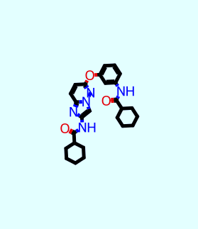 O=C(Nc1cccc(Oc2ccc3nc(NC(=O)C4CCCCC4)cn3n2)c1)C1CCCCC1